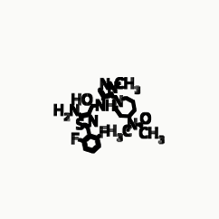 CC(=O)N(C)C1CCCN(c2c(NC(O)c3nc(-c4c(F)cccc4F)sc3N)cnn2C)CC1